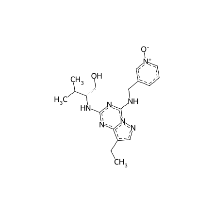 CCc1cnn2c(NCc3ccc[n+]([O-])c3)nc(N[C@@H](CO)C(C)C)nc12